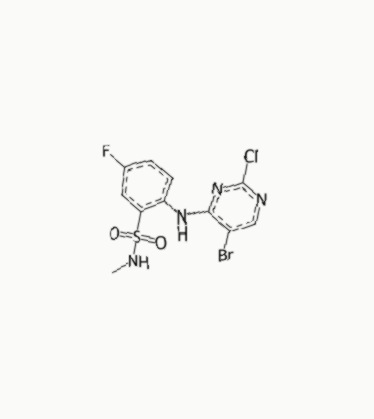 CNS(=O)(=O)c1cc(F)ccc1Nc1nc(Cl)ncc1Br